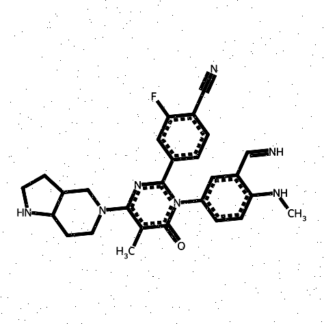 CNc1ccc(-n2c(-c3ccc(C#N)c(F)c3)nc(N3CCC4NCCC4C3)c(C)c2=O)cc1C=N